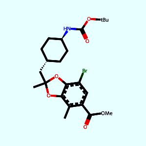 COC(=O)c1cc(Br)c2c(c1C)OC(C)(C[C@H]1CC[C@H](NC(=O)OC(C)(C)C)CC1)O2